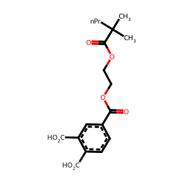 CCCC(C)(C)C(=O)OCCOC(=O)c1ccc(C(=O)O)c(C(=O)O)c1